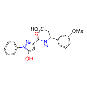 COc1cccc(C(CC(=O)O)NC(=O)c2cc(O)n(-c3ccccc3)n2)c1